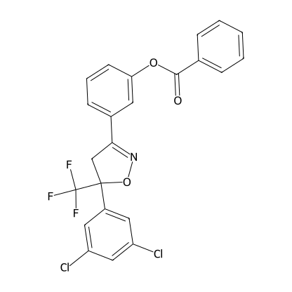 O=C(Oc1cccc(C2=NOC(c3cc(Cl)cc(Cl)c3)(C(F)(F)F)C2)c1)c1ccccc1